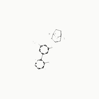 N#Cc1cc(O[C@@H]2C[C@H]3CC[C@@H](C2)N3)cc(-c2ncccc2Cl)c1